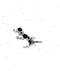 COCCOCC(=O)N(C)C(CC(=O)O)c1ccc(N(C)C(=O)Cc2ccc(NC(=O)Nc3ccccc3C)c(OC)c2)nc1